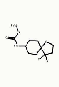 CCCCOC(=O)NC1CCC2(CC1)OCCC2(F)F